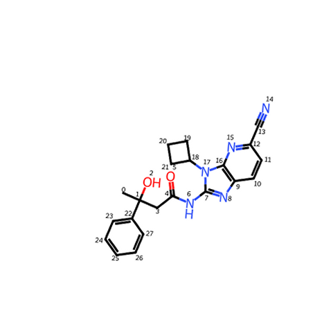 CC(O)(CC(=O)Nc1nc2ccc(C#N)nc2n1C1CCC1)c1ccccc1